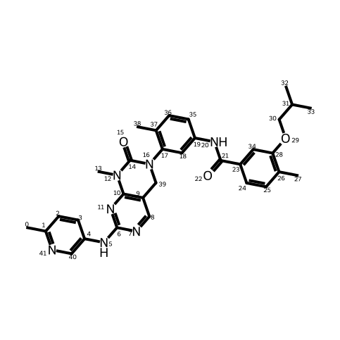 Cc1ccc(Nc2ncc3c(n2)N(C)C(=O)N(c2cc(NC(=O)c4ccc(C)c(OCC(C)C)c4)ccc2C)C3)cn1